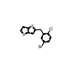 Clc1ccc(Br)cc1Cc1cc2sccc2s1